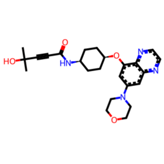 CC(C)(O)C#CC(=O)N[C@H]1CC[C@@H](Oc2cc(N3CCOCC3)cc3nccnc23)CC1